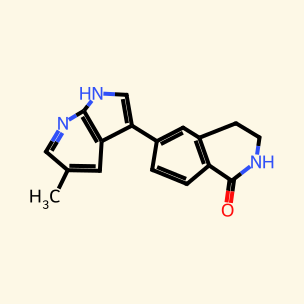 Cc1cnc2[nH]cc(-c3ccc4c(c3)CCNC4=O)c2c1